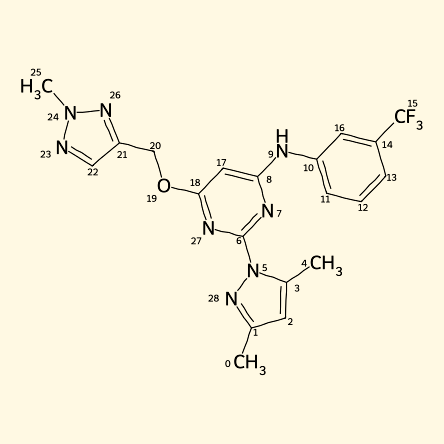 Cc1cc(C)n(-c2nc(Nc3cccc(C(F)(F)F)c3)cc(OCc3cnn(C)n3)n2)n1